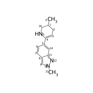 CC1CC=C(c2ccc3cn(C)nc3c2)NC1